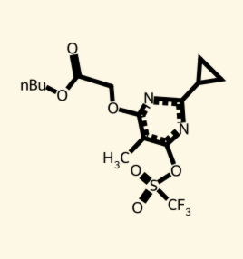 CCCCOC(=O)COc1nc(C2CC2)nc(OS(=O)(=O)C(F)(F)F)c1C